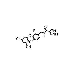 N#Cc1cc(Cl)cc(Oc2c(Cl)ccc(CNC(=O)c3cn[nH]c3)c2F)c1